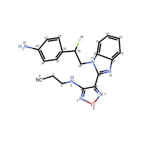 N#CCCNc1nonc1-c1nc2ccccc2n1CC(F)c1ccc(N)cc1